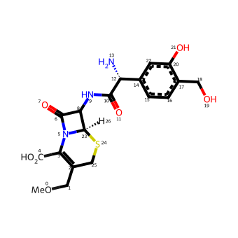 COCC1=C(C(=O)O)N2C(=O)C(NC(=O)[C@H](N)c3ccc(CO)c(O)c3)[C@H]2SC1